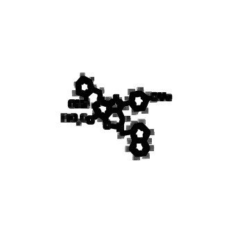 CCOC(=O)Oc1cn(Cc2ccccc2OC)c2sc(-c3ccc(OC)cc3)c(CN(C)Cc3cccc4ccccc34)c2c1=O